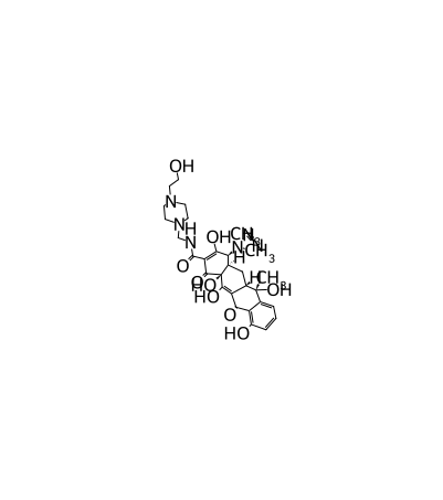 CN(C)[C@@H]1C(O)=C(C(=O)NCN2CCN(CCO)CC2)C(=O)[C@@]2(O)C(O)=C3C(=O)c4c(O)cccc4[C@@](C)(O)[C@H]3C[C@H]12.N#N